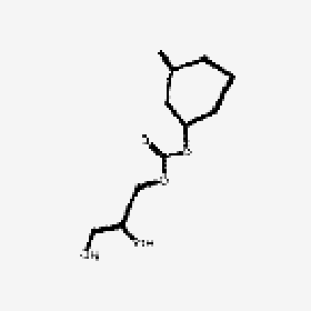 CC1CCCC(OC(=O)OCC(O)CO)C1